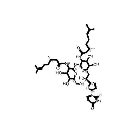 CC(C)=CCC[C@H](C)CC(=O)NC1C(O)C(O)[C@H](CO)O[C@@H]1O[C@@H]1O[C@H](C[C@@H](O)[C@@H]2CC[C@H](n3ccc(=O)[nH]c3=O)O2)C(O)C(O)C1NC(=O)C[C@@H](C)CCC=C(C)C